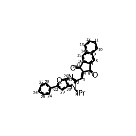 CC(C)n1c(C=C2C(=O)c3cc4ccccc4cc3C2=O)nc2oc(-c3ccccc3)cc21